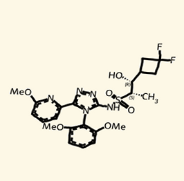 COc1cccc(-c2nnc(NS(=O)(=O)[C@@H](C)[C@H](O)C3CC(F)(F)C3)n2-c2c(OC)cccc2OC)n1